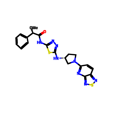 CO[C@@H](C(=O)Nc1nnc(N[C@@H]2CCN(c3ccc4nsnc4n3)C2)s1)c1ccccc1